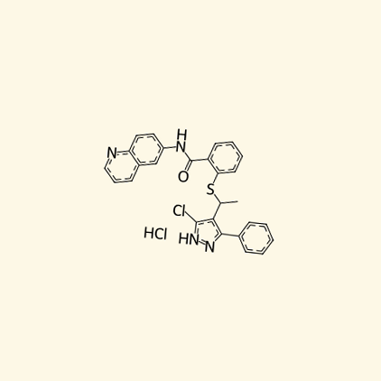 CC(Sc1ccccc1C(=O)Nc1ccc2ncccc2c1)c1c(-c2ccccc2)n[nH]c1Cl.Cl